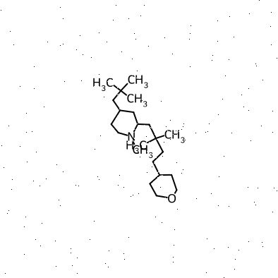 CN1CCC(CC(C)(C)C)CC1CC(C)(C)CCC1CCOCC1